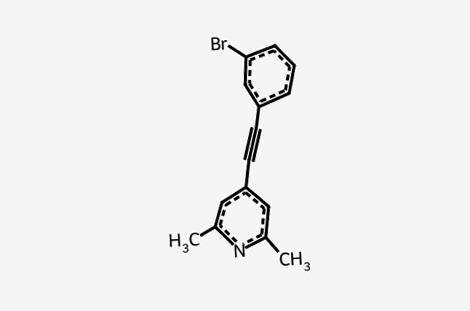 Cc1cc(C#Cc2cccc(Br)c2)cc(C)n1